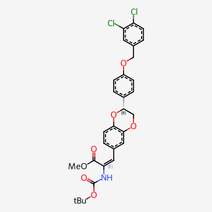 COC(=O)/C(=C\c1ccc2c(c1)OC[C@@H](c1ccc(OCc3ccc(Cl)c(Cl)c3)cc1)O2)NC(=O)OC(C)(C)C